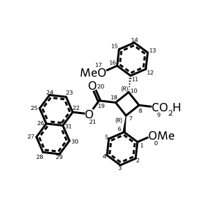 COc1ccccc1[C@@H]1C(C(=O)O)[C@@H](c2ccccc2OC)C1C(=O)Oc1cccc2ccccc12